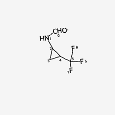 O=[C]NC1CC1C(F)(F)F